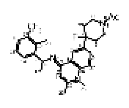 CC(=O)N1CCC(F)(c2cc3/c(=N/C(C)c4cccc(C(F)(F)F)c4C)nc(C)n(C)c3cn2)CC1